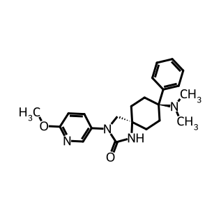 COc1ccc(N2C[C@]3(CC[C@](c4ccccc4)(N(C)C)CC3)NC2=O)cn1